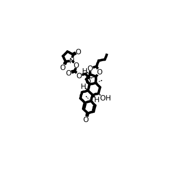 CCCC1O[C@@H]2CC3[C@@H]4CCC5=CC(=O)C=C[C@]5(C)[C@H]4[C@@H](O)C[C@]3(C)[C@]2(C(=O)COC(=O)ON2C(=O)CCC2=O)O1